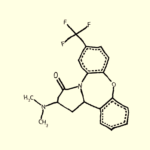 CN(C)C1CC2c3ccccc3Oc3ccc(C(F)(F)F)cc3N2C1=O